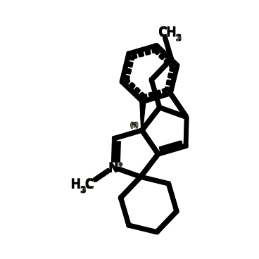 CCCC1C2C=C3C4(CCCCC4)[N+](C)=C[C@@]31c1ccccc12